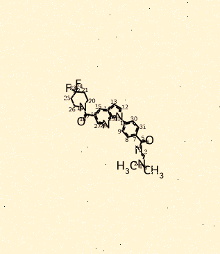 CN(C)/C=N/C(=O)c1ccc(-n2ccc3cc(C(=O)N4CCC(F)(F)CC4)cnc32)cc1